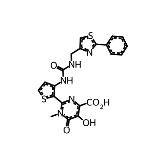 Cn1c(-c2sccc2NC(=O)NCc2csc(-c3ccccc3)n2)nc(C(=O)O)c(O)c1=O